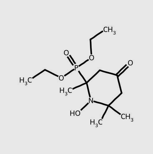 CCOP(=O)(OCC)C1(C)CC(=O)CC(C)(C)N1O